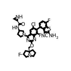 N#Cc1c(N)sc2c(F)ccc(-c3c(Cl)cc4c(N5CCC(NC(=O)[C@H]6CN6)C5)nc(OC[C@@]56CCCN5C[C@H](F)C6)nc4c3F)c12